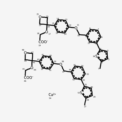 Cc1ccc(-c2cccc(COc3ccc(C4(OCC(=O)[O-])COC4)cc3)c2)s1.Cc1ccc(-c2cccc(COc3ccc(C4(OCC(=O)[O-])COC4)cc3)c2)s1.[Ca+2]